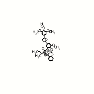 CCC(C)N(O)C(=O)Nc1cc(C2CCC(c3cc(OC)c(OC)c(OC)c3)O2)cc(OC)c1OC(C)Sc1ccccc1Br